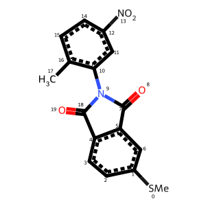 CSc1ccc2c(c1)C(=O)N(c1cc([N+](=O)[O-])ccc1C)C2=O